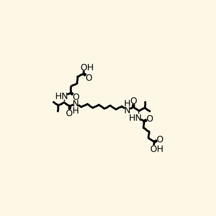 CC(C)[C@H](NC(=O)CCCC(=O)O)C(=O)NCCCCCCCCNC(=O)[C@@H](NC(=O)CCCC(=O)O)C(C)C